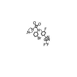 CN1CCN(c2c(N(Cc3ccc(-c4nnc(C(F)F)o4)cc3F)c3cccc(Br)c3)c(=O)c2=O)CC1